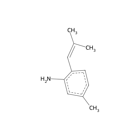 CC(C)=Cc1ccc(C)cc1N